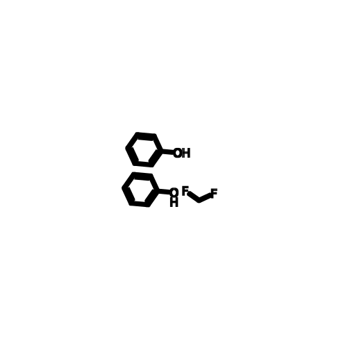 FCF.Oc1ccccc1.Oc1ccccc1